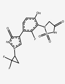 O=C1CN(c2c(O)ccc(-c3cn(C4CC4(F)F)[nH]c3=O)c2F)S(=O)(=O)N1